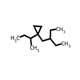 CCC(CC)CC1(C(C)CC)CC1